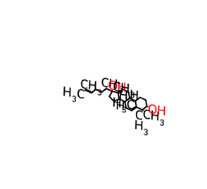 CC(C)=CCC[C@@H](C)[C@@]1(O)CC[C@H]2[C@@H]3CC=C4C(C)(C)[C@H](O)CC[C@]4(C)[C@H]3CC[C@@]21C